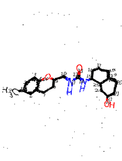 Cc1ccc2c(c1)CCC(CNC(=O)NC1CCCC3CCC(O)CC31)O2